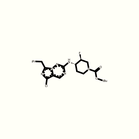 CC(C)Cc1nc(Cl)c2cnc(N[C@H]3CCN(C(=O)OC(C)(C)C)C[C@@H]3F)nn12